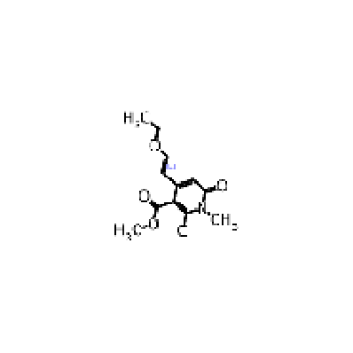 CCO/C=C/c1cc(=O)n(C)c(Cl)c1C(=O)OC